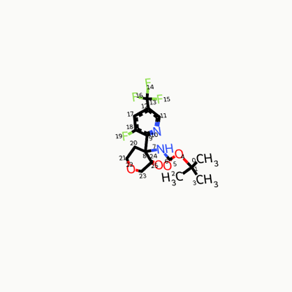 CC(C)(C)OC(=O)NC1(c2ncc(C(F)(F)F)cc2F)CCOCC1=O